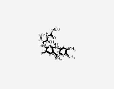 Cc1cc(Nc2nc(N[C@H](CC(C)C)[C@H](C)NC(=O)OC(C)(C)C)c(F)cc2C(N)=O)cnc1C